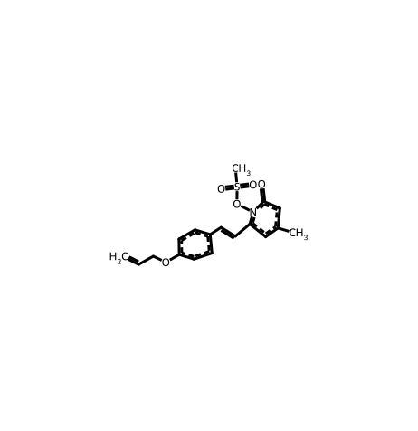 C=CCOc1ccc(C=Cc2cc(C)cc(=O)n2OS(C)(=O)=O)cc1